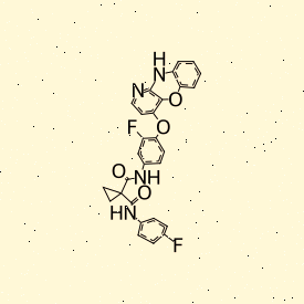 O=C(Nc1ccc(F)cc1)C1(C(=O)Nc2ccc(Oc3ccnc4c3Oc3ccccc3N4)c(F)c2)CC1